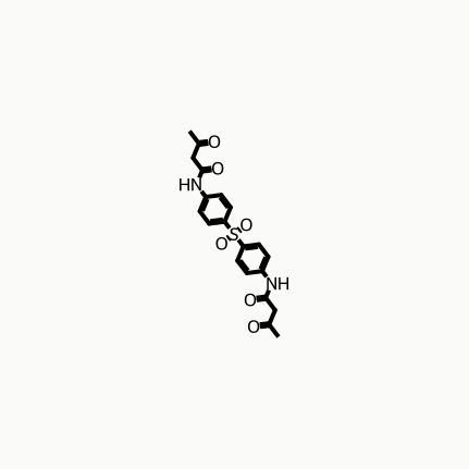 CC(=O)CC(=O)Nc1ccc(S(=O)(=O)c2ccc(NC(=O)CC(C)=O)cc2)cc1